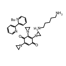 NCCCCCN.O=C1C=C(N2CC2)C(=O)C(N2CC2)=C1N1CC1.[Ru].c1ccc(-c2ccccn2)nc1